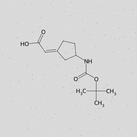 CC(C)(C)OC(=O)NC1CCC(=CC(=O)O)C1